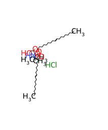 CCCCCCCCC=CCCCCCCCC(=O)OC(CO)C(NC(C)(C)C)OC(=O)CCCCCCCC=CCCCCCCCC.Cl